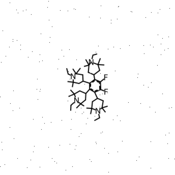 CCN1C(C)(C)CC(c2c(F)c(F)c(C3CC(C)(C)N(CC)C(C)(C)C3)c(C3CC(C)(C)N(CC)C(C)(C)C3)c2C2CC(C)(C)N(CC)C(C)(C)C2)CC1(C)C